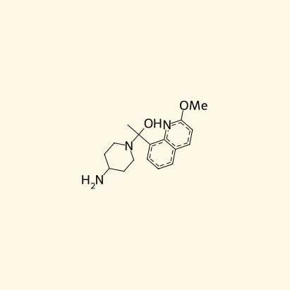 COc1ccc2cccc(C(C)(O)N3CCC(N)CC3)c2n1